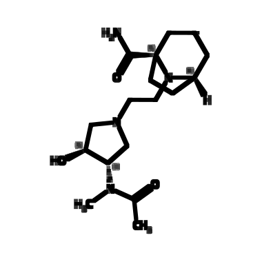 CC(=O)N(C)[C@H]1CN(CCN2[C@@H]3C[CH]C[C@@]2(C(N)=O)CC3)C[C@@H]1O